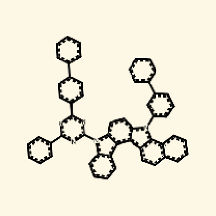 c1ccc(-c2ccc(-c3nc(-c4ccccc4)nc(-n4c5ccccc5c5c6c7ccc8ccccc8c7n(-c7cccc(-c8ccccc8)c7)c6ccc54)n3)cc2)cc1